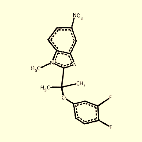 Cn1c(C(C)(C)Oc2ccc(F)c(F)c2)nc2cc([N+](=O)[O-])ccc21